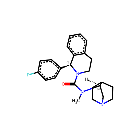 CN(C(=O)N1CCc2ccccc2[C@@H]1c1ccc(F)cc1)[C@@H]1CN2CCC1CC2